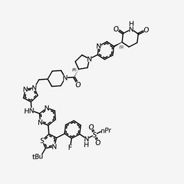 CCCS(=O)(=O)Nc1cccc(-c2nc(C(C)(C)C)sc2-c2ccnc(Nc3cnn(CC4CCN(C(=O)[C@@H]5CCN(c6ccc([C@@H]7CCC(=O)NC7=O)cn6)C5)CC4)c3)n2)c1F